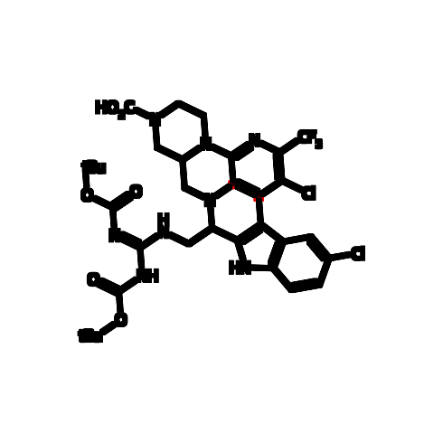 CC(C)(C)OC(=O)/N=C(\NCC1c2[nH]c3ccc(Cl)cc3c2CCN1CC1CN(C(=O)O)CCN1c1ccc(Cl)c(C(F)(F)F)n1)NC(=O)OC(C)(C)C